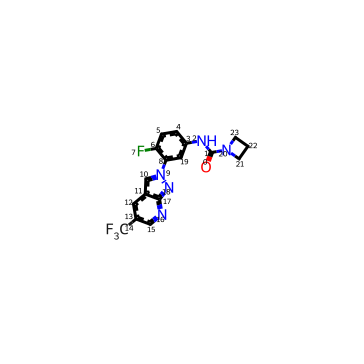 O=C(Nc1ccc(F)c(-n2cc3cc(C(F)(F)F)cnc3n2)c1)N1CCC1